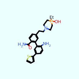 CC[P]1(O)CCN(CCc2ccc(C(N)=O)c(-c3cc(-c4cccs4)ccc3N)c2)CC1